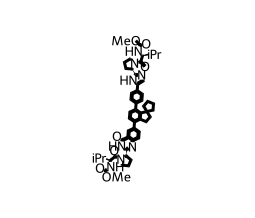 COC(=O)N[C@H](C(=O)N1CCC[C@H]1c1ncc(-c2ccc(-c3ccc(-c4ccc5nc([C@@H]6CCCN6C(=O)[C@@H](NC(=O)OC)C(C)C)[nH]c(=O)c5c4)c4c3C3(CCCC3)CC4)cc2)[nH]1)C(C)C